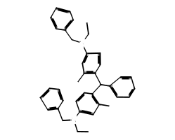 CCN(Cc1ccccc1)c1ccc(C(c2ccccc2)c2ccc(N(CC)Cc3ccccc3)cc2C)c(C)c1